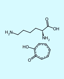 NCCCC[C@H](N)C(=O)O.O=c1cccccc1O